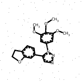 COc1cc(-n2nncc2-c2ccc3c(c2)OCC3)cc(OC)c1OC